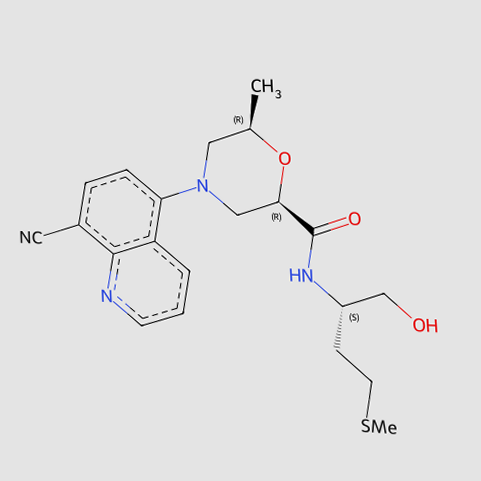 CSCC[C@@H](CO)NC(=O)[C@H]1CN(c2ccc(C#N)c3ncccc23)C[C@@H](C)O1